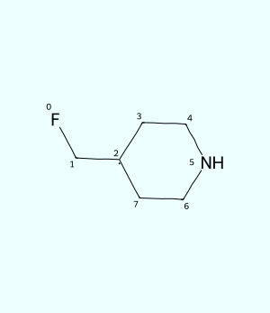 FC[C]1CCNCC1